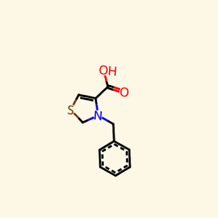 O=C(O)C1=CSCN1Cc1ccccc1